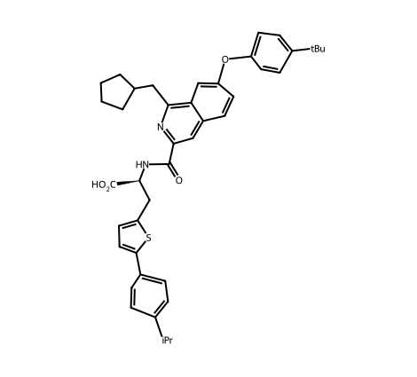 CC(C)c1ccc(-c2ccc(C[C@H](NC(=O)c3cc4ccc(Oc5ccc(C(C)(C)C)cc5)cc4c(CC4CCCC4)n3)C(=O)O)s2)cc1